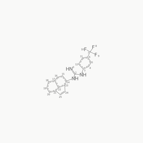 N=C(Nc1ccc(C(F)(F)F)cc1)Nc1ccc2cccc3c2c1C=C3